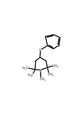 CN1C(C)(C)CC(Oc2ccccc2)CC1(C)C